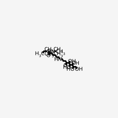 CCC(C)(C)OC(=O)C(CCCCNCCCC(=O)C(O)C(O)C(O)C(O)CO)NC(C)(C)C